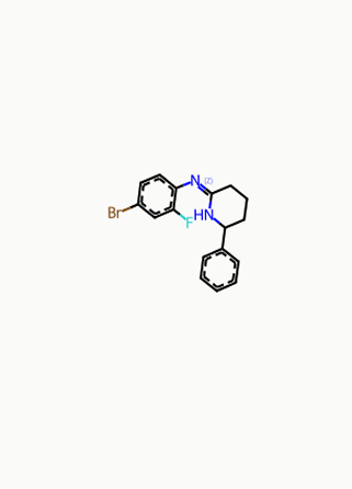 Fc1cc(Br)ccc1/N=C1/CCCC(c2ccccc2)N1